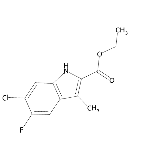 CCOC(=O)c1[nH]c2cc(Cl)c(F)cc2c1C